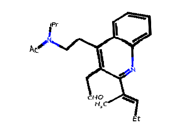 CC/C=C(\C)c1nc2ccccc2c(CCN(C(C)=O)C(C)C)c1CC=O